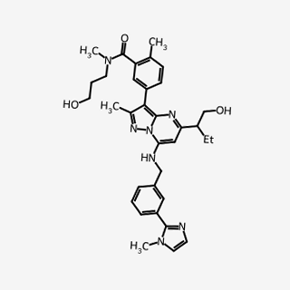 CCC(CO)c1cc(NCc2cccc(-c3nccn3C)c2)n2nc(C)c(-c3ccc(C)c(C(=O)N(C)CCCO)c3)c2n1